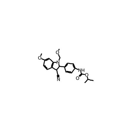 COCN1c2cc(OC)ccc2C(C#N)C1c1ccc(NC(=O)OC(C)C)cc1